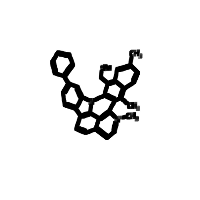 Cc1ccc2c(C)c3c(c(CC(C)(C)C)c2c1)n1c2cc(-c4ccccc4)ccc2c2ccc4cc[n+](C)c3c4c21